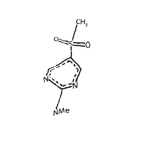 CNc1ncc(S(C)(=O)=O)cn1